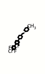 C[C@H]1CC[C@H](CCC2CCC(c3ccc(-c4cc(F)c(Cl)c(F)c4)c(F)c3)CC2)CC1